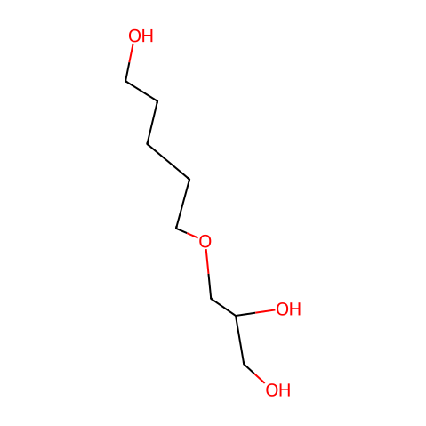 OCCCCCOCC(O)CO